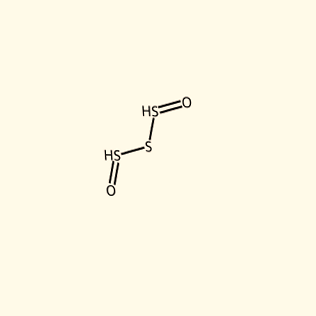 O=[SH]S[SH]=O